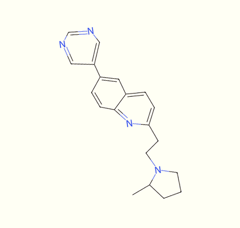 CC1CCCN1CCc1ccc2cc(-c3cncnc3)ccc2n1